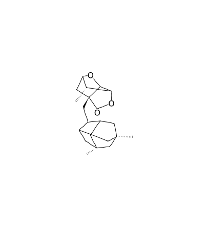 C[C@@H]1C2C[C@@]3(CC4C5C[C@]6(C)CC4C[C@@](C)(C5)C6)C(=O)OC1C3O2